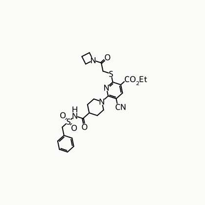 CCOC(=O)c1cc(C#N)c(N2CCC(C(=O)NS(=O)(=O)Cc3ccccc3)CC2)nc1SCC(=O)N1CCC1